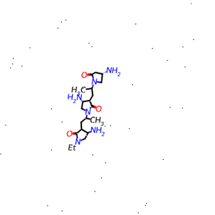 CCN1CC(N)C(CC(C)N2C[C@H](N)C(CC(C)N3C[C@@H](N)CC3=O)C2=O)C1=O